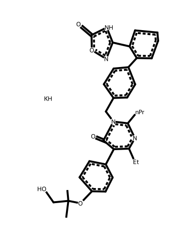 CCCc1nc(CC)c(-c2ccc(OC(C)(C)CO)cc2)c(=O)n1Cc1ccc(-c2ccccc2-c2noc(=O)[nH]2)cc1.[KH]